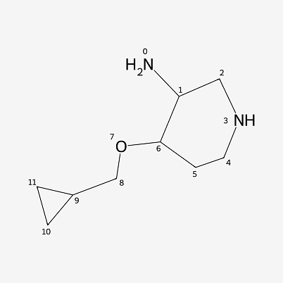 NC1CNCCC1OCC1CC1